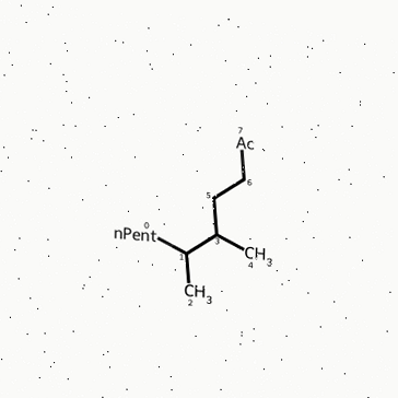 CCCCCC(C)C(C)CCC(C)=O